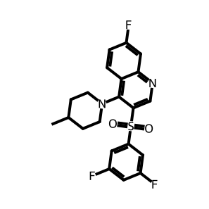 CC1CCN(c2c(S(=O)(=O)c3cc(F)cc(F)c3)cnc3cc(F)ccc23)CC1